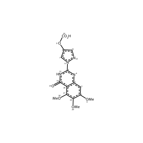 COc1cc2nc(-n3cc(OC(=O)O)cn3)[nH]c(=O)c2c(OC)c1OC